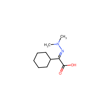 CN(C)/N=C(/C(=O)O)C1CCCCC1